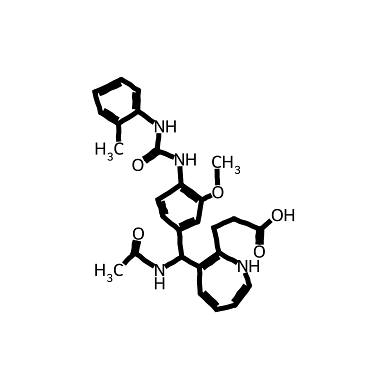 COc1cc(C(NC(C)=O)C2=C(CCC(=O)O)NC=CC=C2)ccc1NC(=O)Nc1ccccc1C